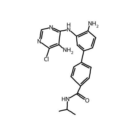 CC(C)NC(=O)c1ccc(-c2ccc(N)c(Nc3ncnc(Cl)c3N)c2)cc1